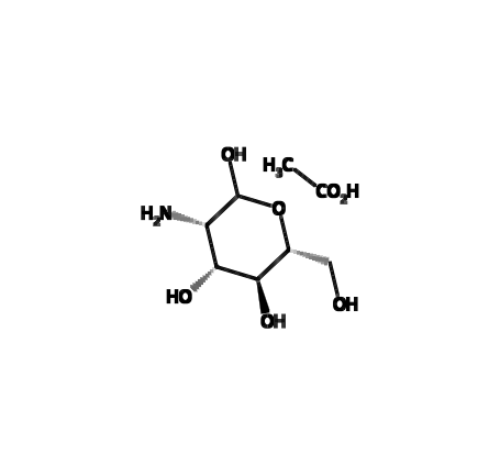 CC(=O)O.N[C@@H]1C(O)O[C@H](CO)[C@@H](O)[C@@H]1O